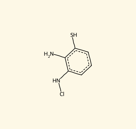 Nc1c(S)cccc1NCl